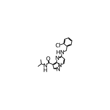 CC(C)NC(=O)c1cnn2ccc(NCc3ccccc3Cl)nc12